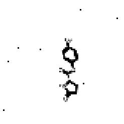 O=C1CC[C@@H](C(=O)Oc2ccc(O)cc2)N1